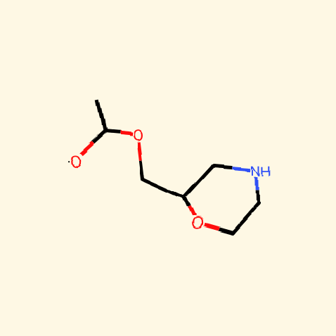 CC([O])OCC1CNCCO1